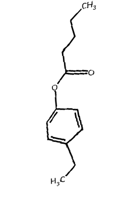 CCCCC(=O)Oc1ccc(CC)cc1